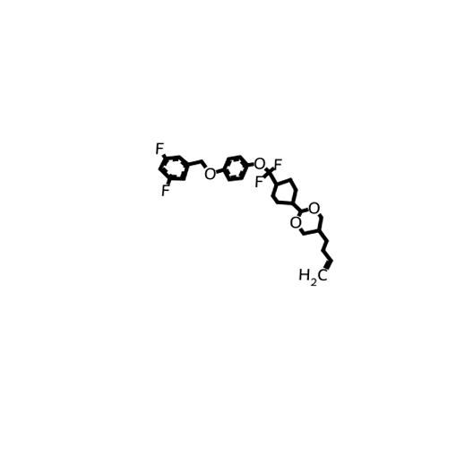 C=CCCC1COC(C2CCC(C(F)(F)Oc3ccc(OCc4cc(F)cc(F)c4)cc3)CC2)OC1